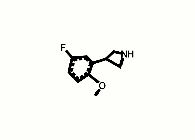 COc1ccc(F)cc1C1CNC1